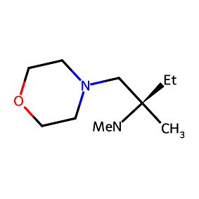 CC[C@](C)(CN1CCOCC1)NC